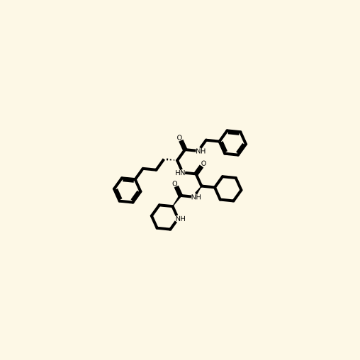 O=C(N[C@@H](C(=O)N[C@H](CCCc1ccccc1)C(=O)NCc1ccccc1)C1CCCCC1)[C@@H]1CCCCN1